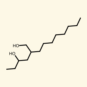 CCCCCCCCC(CO)CC(O)CC